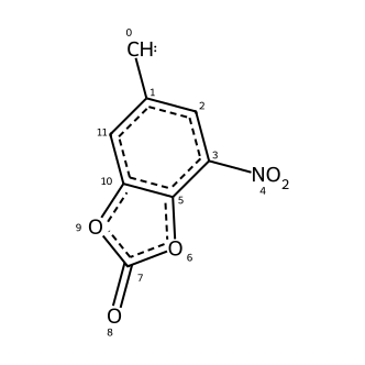 [CH]c1cc([N+](=O)[O-])c2oc(=O)oc2c1